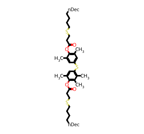 CCCCCCCCCCCCCCSCCC(=O)Oc1c(C)cc(Sc2cc(C)c(OC(=O)CCSCCCCCCCCCCCCCC)c(C)c2C)cc1C